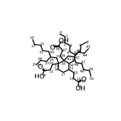 CCCCCC(CCC)CC1C(CCC(=O)O)CCC(CCC(=O)O)(CC(CCC)CCCCC)C1(CCC(=O)O)CC(CCC)CCCCC